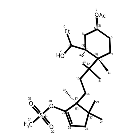 CCC(O)[C@@]1(C)C[C@@H](OC(C)=O)CC[C@]1(C)C(C)(C)CC[C@]1(C)C(OS(=O)(=O)C(F)(F)F)=CCC1(C)C